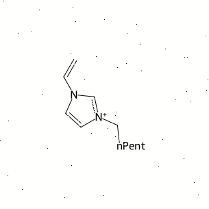 C=Cn1cc[n+](CCCCCC)c1